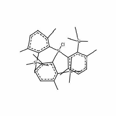 Cc1ccc(C)c([Si](Cl)(c2c(C)ccc(C)c2[Si](C)(C)C)c2c(C)ccc(C)c2[Si](C)(C)C)c1[Si](C)(C)C